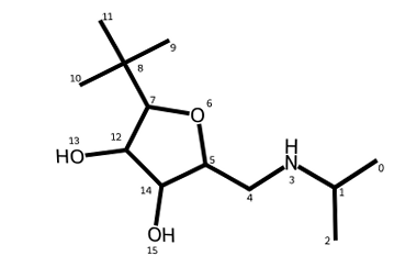 CC(C)NCC1OC(C(C)(C)C)C(O)C1O